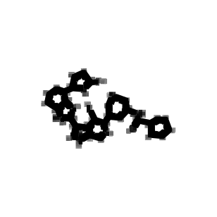 O=C(Nc1cncc(-c2ncc3[nH]nc(-c4nc5c(-c6ccc(F)s6)cccc5[nH]4)c3c2F)c1)c1ccccc1